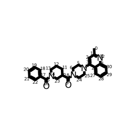 Cc1cc(N2CCN(C(=O)C3CCCN(C(=O)c4ccccc4)C3)CC2)c2ccccc2n1